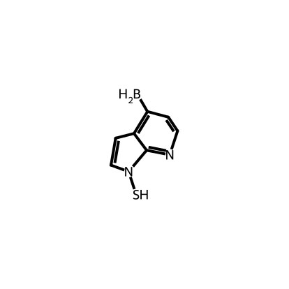 Bc1ccnc2c1ccn2S